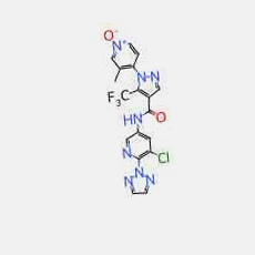 Cc1c[n+]([O-])ccc1-n1ncc(C(=O)Nc2cnc(-n3nccn3)c(Cl)c2)c1C(F)(F)F